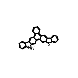 c1ccc2c(c1)[nH]c1cc3c4cc5sc6ccccc6c5cc4c4ccccc4c3cc12